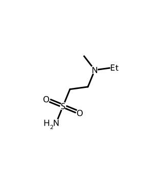 CCN(C)CCS(N)(=O)=O